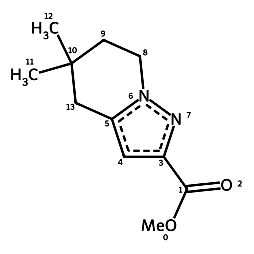 COC(=O)c1cc2n(n1)CCC(C)(C)C2